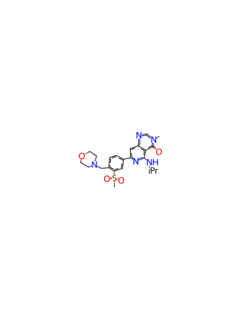 CC(C)Nc1nc(-c2ccc(CN3CCOCC3)c(S(C)(=O)=O)c2)cc2ncn(C)c(=O)c12